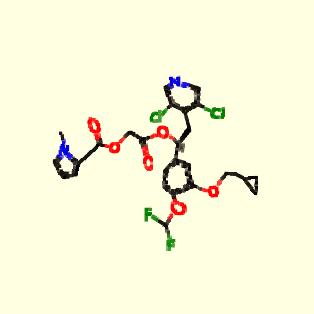 Cn1cccc1C(=O)OCC(=O)O[C@@H](Cc1c(Cl)cncc1Cl)c1ccc(OC(F)F)c(OCC2CC2)c1